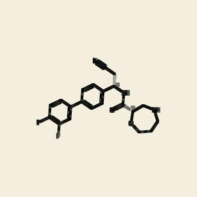 N#CC[C@H](NC(=O)[C@@H]1CNCCCO1)c1ccc(-c2ccc(F)c(F)c2)cc1